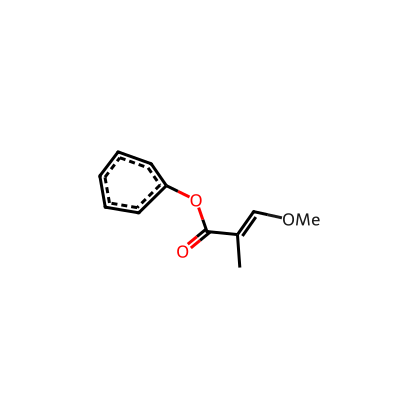 COC=C(C)C(=O)Oc1ccccc1